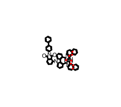 O=C1c2cccc(-n3c4cccc(-c5nc(-c6ccccc6)nc(-c6ccccc6)n5)c4c4c(-c5nc(-c6ccccc6)nc(-c6ccccc6)n5)cccc43)c2C(=O)N1c1ccc(-c2ccccc2)cc1